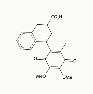 COC1=C(OC)C(=O)C(C2CC(C(=O)O)Cc3ccccc32)=C(C)C1=O